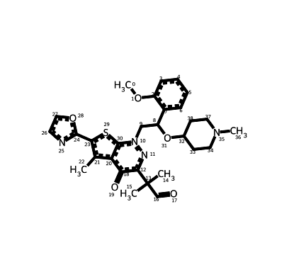 COc1ccccc1C(Cn1nc(C(C)(C)C=O)c(=O)c2c(C)c(-c3ncco3)sc21)OC1CCN(C)CC1